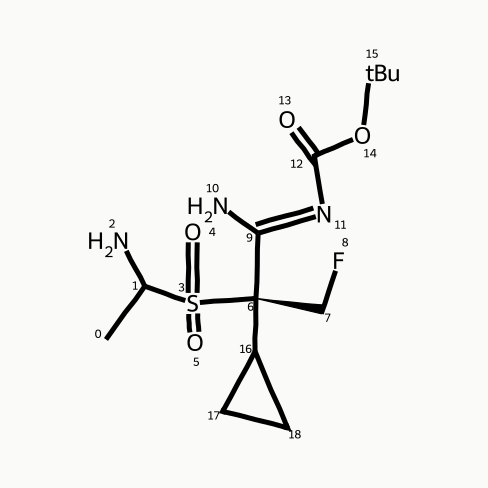 CC(N)S(=O)(=O)[C@](CF)(/C(N)=N/C(=O)OC(C)(C)C)C1CC1